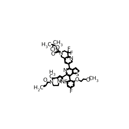 C=CC(=O)N1CCn2nc(-c3nc(-c4cnc5c(c4)CN(C(=O)OC(C)(C)C)CC5(F)F)c4ccsc4c3-c3c(F)cc(F)cc3OCCOC)cc2[C@H]1C